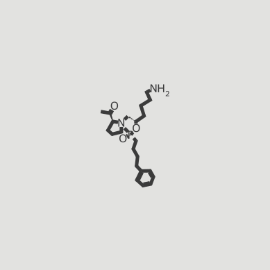 CC(=O)[C@@H]1CCCN1C[C@H](CCCCN)OP(C)(=O)CCCCc1ccccc1